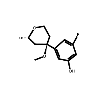 CO[C@]1(c2cc(O)cc(F)c2)CCO[C@@H](C)C1